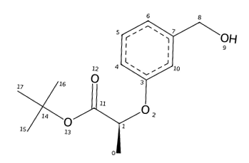 C[C@H](Oc1cccc(CO)c1)C(=O)OC(C)(C)C